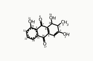 CC1C(O)=CC2=C(C(=O)c3c(O)cccc3C2=O)C1O